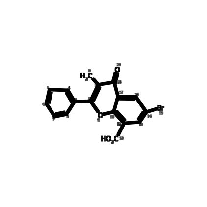 Cc1c(-c2ccccc2)oc2c(C(=O)O)cc(Br)cc2c1=O